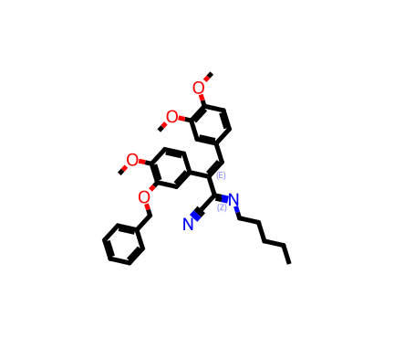 CCCCC/N=C(C#N)/C(=C/c1ccc(OC)c(OC)c1)c1ccc(OC)c(OCc2ccccc2)c1